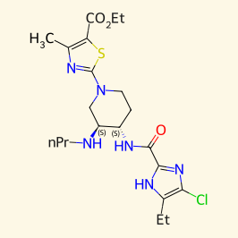 CCCN[C@H]1CN(c2nc(C)c(C(=O)OCC)s2)CC[C@@H]1NC(=O)c1nc(Cl)c(CC)[nH]1